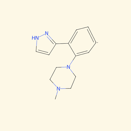 CN1CCN(c2c[c]ccc2-c2cc[nH]n2)CC1